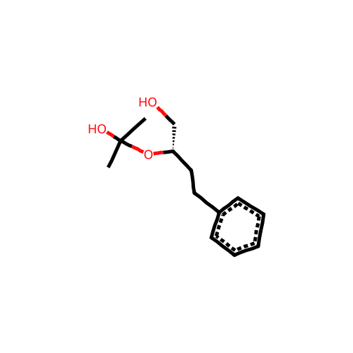 CC(C)(O)O[C@H](CO)CCc1ccccc1